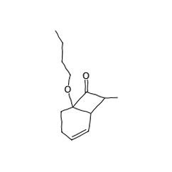 CCCCOC12CCC=CC1C(C)C2=O